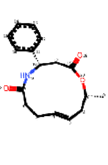 C[C@@H]1C/C=C/CCC(=O)N[C@H](c2ccccc2)CC(=O)O1